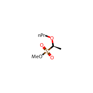 CCCO[C@@H](C)S(=O)(=O)OC